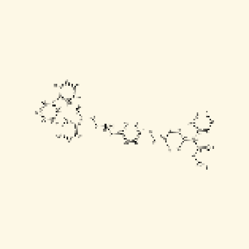 CCC(=O)N(c1ccccc1)C1CCN(CCc2ccc(CNCCCSC(c3ccccc3)(c3ccccc3)c3ccccc3)cc2)CC1